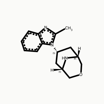 Cc1nc2ccccc2n1[C@H]1C[C@H]2COC[C@@H](C1)N2